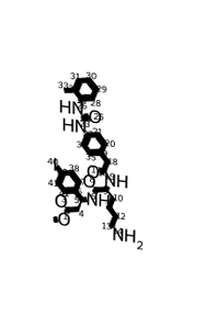 COC(=O)C[C@H](NC(=O)[C@H](CCCCN)NC(=O)Cc1ccc(NC(=O)Nc2ccccc2C)cc1)c1ccc(I)cc1